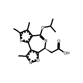 Cc1noc2c1-c1sc(C)c(C)c1C(OC(C)C)=N[C@H]2CC(=O)O